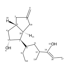 C=C1C[C@H]2C[C@@H](O)[C@H](C(CC)CC(C)C(O)=CC)[C@@H]2C1